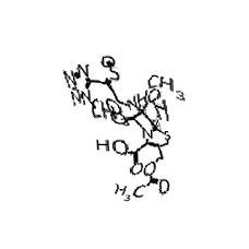 CO[C@@]1(NC(=O)C(=S=O)c2nnnn2C)C(=O)N2C(C(=O)O)=C(COC(C)=O)CS[C@@H]21